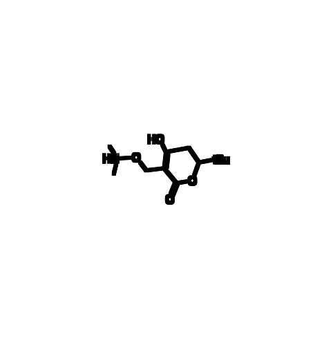 C[SiH](C)OCC1=C(O)CC(C(C)(C)C)OC1=O